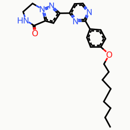 CCCCCCCCOc1ccc(-c2nccc(-c3cc4n(n3)CCNC4=O)n2)cc1